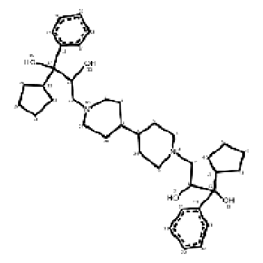 OC(CN1CCC(C2CCN(CC(O)C(O)(c3ccccc3)C3CCCC3)CC2)CC1)C(O)(c1ccccc1)C1CCCC1